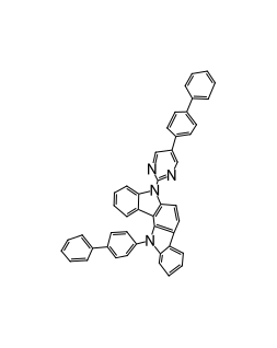 c1ccc(-c2ccc(-c3cnc(-n4c5ccccc5c5c4ccc4c6ccccc6n(-c6ccc(-c7ccccc7)cc6)c45)nc3)cc2)cc1